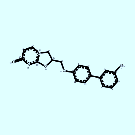 CC(C)(C)c1cccc(-c2ccc(OCC3Cn4ccc(=O)nc4O3)cc2)c1